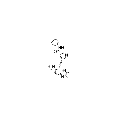 Cc1nc2cnc(N)c(C#Cc3cncc(C(=O)Nc4cccnc4)c3)c2nc1C